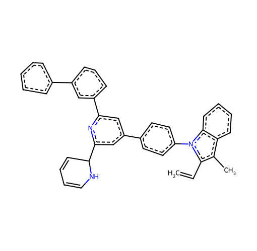 C=Cc1c(C)c2ccccc2n1-c1ccc(-c2cc(-c3cccc(-c4ccccc4)c3)nc(C3C=CC=CN3)c2)cc1